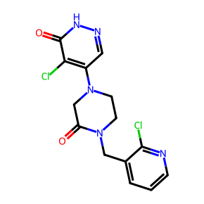 O=C1CN(c2cn[nH]c(=O)c2Cl)CCN1Cc1cccnc1Cl